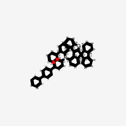 c1ccc(-c2ccc(-c3ccc(N(c4ccccc4-c4ccccc4)c4cccc5c4-c4c(oc6ccccc46)C54c5ccccc5-c5ccccc54)cc3)cc2)cc1